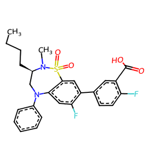 CCCC[C@@H]1CN(c2ccccc2)c2cc(F)c(-c3ccc(F)c(C(=O)O)c3)cc2S(=O)(=O)N1C